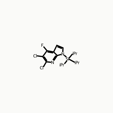 CC(C)[Si](C(C)C)(C(C)C)n1ccc2c(F)c(Cl)c(Cl)nc21